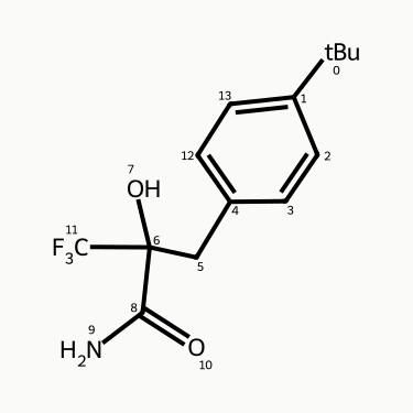 CC(C)(C)c1ccc(CC(O)(C(N)=O)C(F)(F)F)cc1